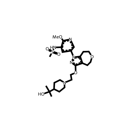 COc1ncc(-n2nc(OCCN3CCC(C(C)(C)O)CC3)c3c2CCOCC3)cc1NS(C)(=O)=O